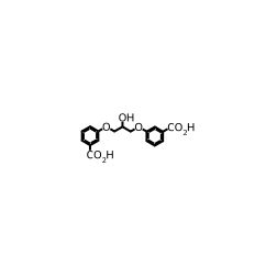 O=C(O)c1cccc(OCC(O)COc2cccc(C(=O)O)c2)c1